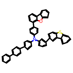 c1ccc(-c2ccc(-c3ccc(N(c4ccc(-c5cccc6c5oc5ccccc56)cc4)c4cccc(-c5ccc6sc7ccccc7c6c5)c4)cc3)cc2)cc1